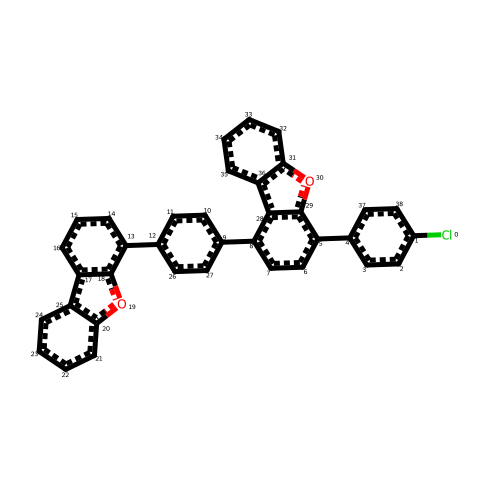 Clc1ccc(-c2ccc(-c3ccc(-c4cccc5c4oc4ccccc45)cc3)c3c2oc2ccccc23)cc1